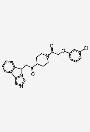 O=C(CC1c2ccccc2-c2cncn21)C1CCN(C(=O)COc2cccc(Cl)c2)CC1